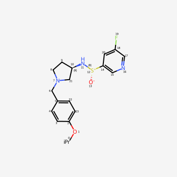 CC(C)Oc1ccc(CN2CC[C@@H](N[S@@+]([O-])c3cncc(F)c3)C2)cc1